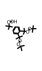 CC(C)(C)OO.CC(C)(C)OOC(C)(C)c1ccccc1C(C)(C)OOC(C)(C)C